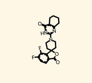 O=C1OC2(CCN(c3nc4c(c(=O)[nH]3)CCCC4)CC2)c2c1ccc(F)c2F